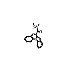 CON(C)C(=O)c1cc2ccccc2n2c1nc1ccccc12